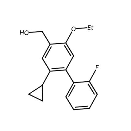 CCOc1cc(-c2ccccc2F)c(C2CC2)cc1CO